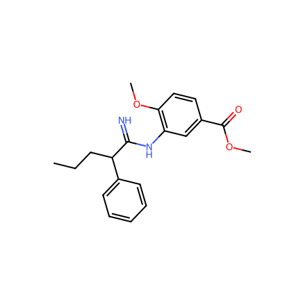 CCCC(C(=N)Nc1cc(C(=O)OC)ccc1OC)c1ccccc1